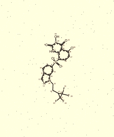 O=c1[nH]c2c(S(=O)(=O)c3ccc4cnn(CCC5C(F)(F)C5(F)F)c4c3)ccc(Cl)c2c(=O)n1O